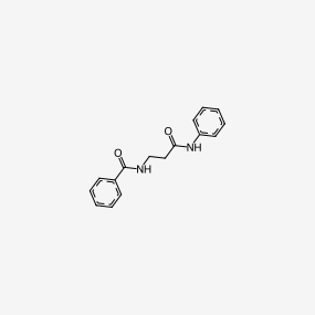 O=C(CCNC(=O)c1ccccc1)Nc1ccccc1